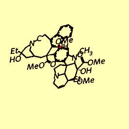 CC[C@]1(O)CC2CN(CCc3c([nH]c4ccccc34)[C@@](C(=O)OC)(c3cc4c(cc3OC)N(C)C3C45CCN4CC=C[C@](CC)(C45)[C@@H](OC)[C@]3(O)C(=O)OC)C2)C1